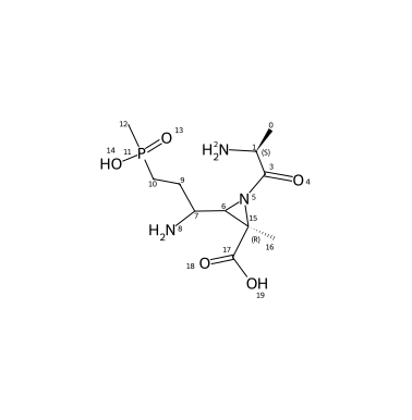 C[C@H](N)C(=O)N1C(C(N)CCP(C)(=O)O)[C@]1(C)C(=O)O